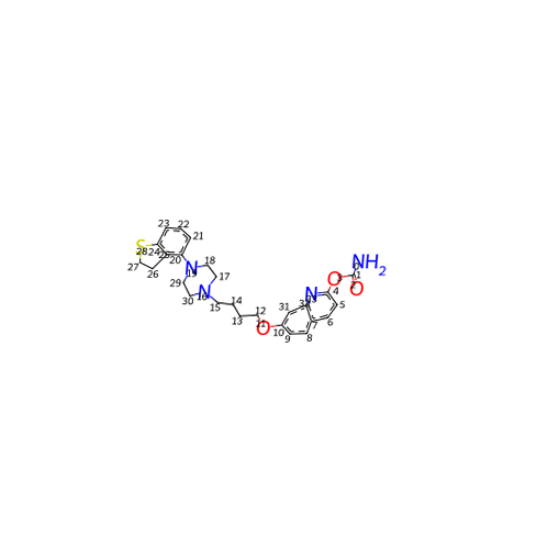 NC(=O)Oc1ccc2ccc(OCCCCN3CCN(c4cccc5c4CCS5)CC3)cc2n1